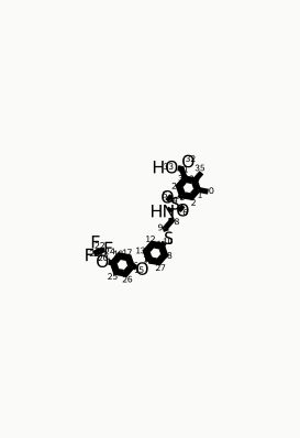 Cc1cc(S(=O)(=O)NCCSc2ccc(Oc3ccc(OC(F)(F)F)cc3)cc2)cc(C(=O)O)c1C